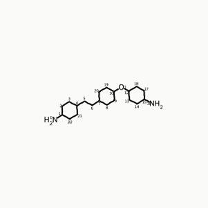 NC1CCC(CCC2CCC(OC3CCC(N)CC3)CC2)CC1